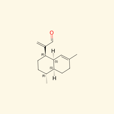 C=C(C=O)[C@@H]1CC[C@@H](C)[C@@H]2CCC(C)=C[C@@H]21